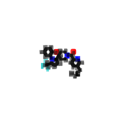 CCc1ccc(C(=O)N2CCC3(CC2)Oc2ccccc2-n2c(C(F)(F)F)ccc23)nc1